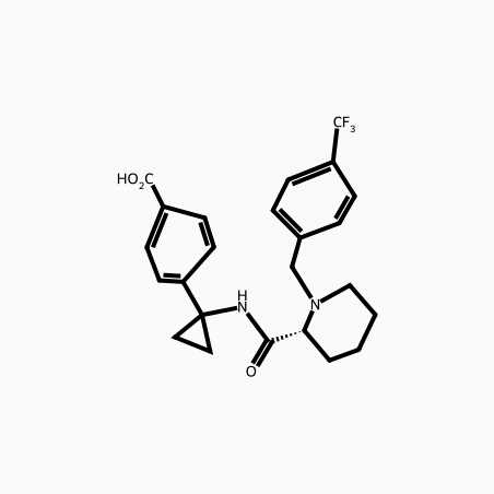 O=C(O)c1ccc(C2(NC(=O)[C@H]3CCCCN3Cc3ccc(C(F)(F)F)cc3)CC2)cc1